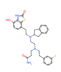 NC(=O)CCN(CCc1cccc(F)c1)CCN(CCc1ccc(O)c2[nH]c(=O)sc12)C1Cc2ccccc2C1